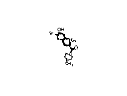 CN1CCN(C(=O)c2cc3cc(Br)c(O)cc3[nH]2)CC1